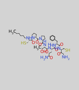 CCCCCCN[C@@H](CS)C(=O)N1CCC[C@H]1C(=O)N1CCC[C@H]1C(=O)N[C@H](C(=O)N[C@@H](CCC(N)=O)C(=O)N[C@@H](Cc1ccccc1)C(=O)N[C@@H](CS)C(=O)CN)[C@@H](C)O